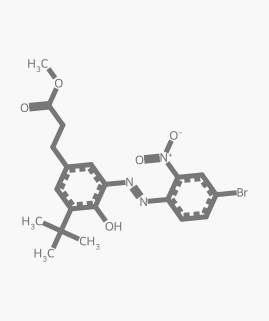 COC(=O)CCc1cc(N=Nc2ccc(Br)cc2[N+](=O)[O-])c(O)c(C(C)(C)C)c1